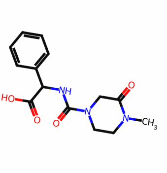 CN1CCN(C(=O)NC(C(=O)O)c2ccccc2)CC1=O